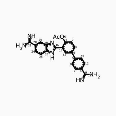 CC(=O)Oc1ccc(-c2ccc(C(=N)N)cc2)cc1-c1nc2cc(C(=N)N)ccc2[nH]1